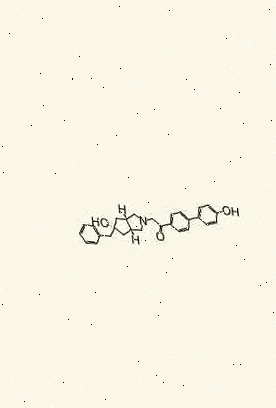 O=C(CN1C[C@@H]2C[C@@](O)(Cc3ccccc3)C[C@@H]2C1)c1ccc(-c2ccc(O)cc2)cc1